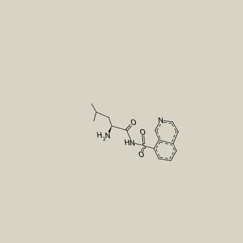 CC(C)C[C@H](N)C(=O)NS(=O)(=O)c1cccc2ccncc12